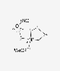 COC[N+]1(CC(C)C)CCCC1.O=N[O-]